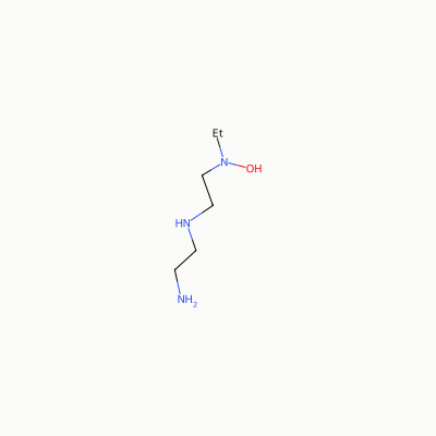 CCN(O)CCNCCN